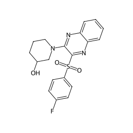 O=S(=O)(c1ccc(F)cc1)c1nc2ccccc2nc1N1CCCC(O)C1